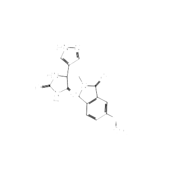 COc1ccc2c(c1)C(=O)N(C[C@@]1(c3cn[nH]c3)NC(=O)NC1=O)C2